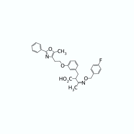 CC(=NOCc1ccc(F)cc1)C(Cc1cccc(OCCc2nc(-c3ccccc3)oc2C)c1)C(=O)O